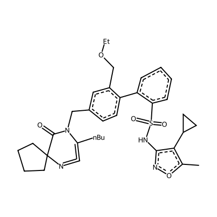 CCCCC1=C=NC2(CCCC2)C(=O)N1Cc1ccc(-c2ccccc2S(=O)(=O)Nc2noc(C)c2C2CC2)c(COCC)c1